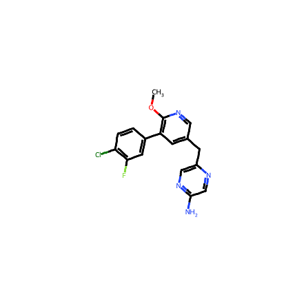 COc1ncc(Cc2cnc(N)cn2)cc1-c1ccc(Cl)c(F)c1